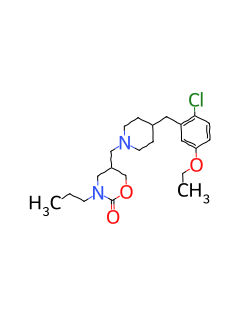 CCCN1CC(CN2CCC(Cc3cc(OCC)ccc3Cl)CC2)COC1=O